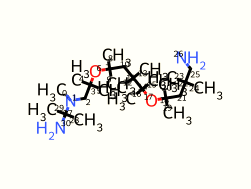 CN(CC(C)(C)OC(C)(C)CC(C)(C)C(C)(C)OC(C)(C)CC(C)(C)CN)C(C)(C)N